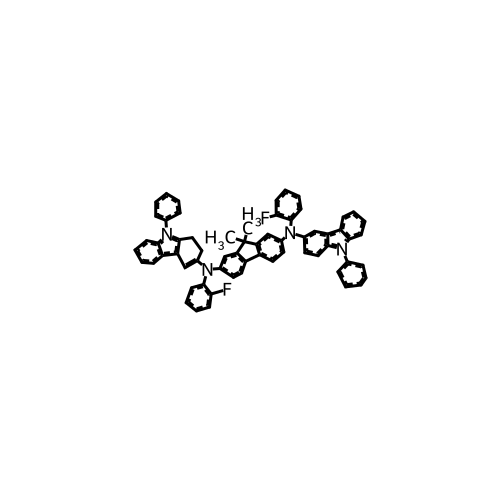 CC1(C)c2cc(N(C3=Cc4c(n(-c5ccccc5)c5ccccc45)CC3)c3ccccc3F)ccc2-c2ccc(N(c3ccc4c(c3)c3ccccc3n4-c3ccccc3)c3ccccc3F)cc21